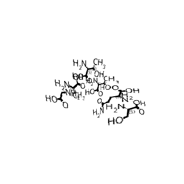 C[C@@H](O)[C@H](N)C(=O)O.C[C@@H](O)[C@H](N)C(=O)O.C[C@H](N)C(=O)O.NC(=O)CC[C@H](N)C(=O)O.NCC(=O)O.N[C@@H](CO)C(=O)O